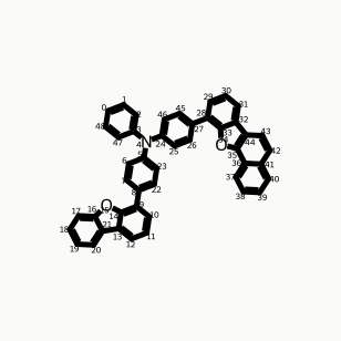 c1ccc(N(c2ccc(-c3cccc4c3oc3ccccc34)cc2)c2ccc(-c3cccc4c3oc3c5ccccc5ccc43)cc2)cc1